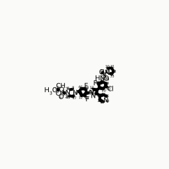 CC(C)(C)OC(=O)N1CCN(c2cc(F)c(-n3cc(-c4cc(Cl)cc(NS(=O)(=O)N5CCCC5)c4F)c(-c4ccncc4)n3)c(F)c2)CC1